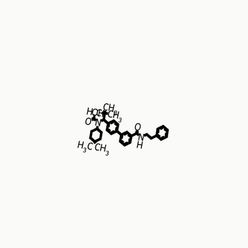 CC1(C)CCC(N(C(=O)O)C(c2ccc(-c3cccc(C(=O)NCCc4ccccc4)c3)cc2)C(C)(C)C)CC1